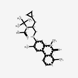 Cc1cc2c3ccnc(C)c3c(=O)n(C)c2cc1OCC(CC1CC1)N(C(=O)O)C(C)(C)C